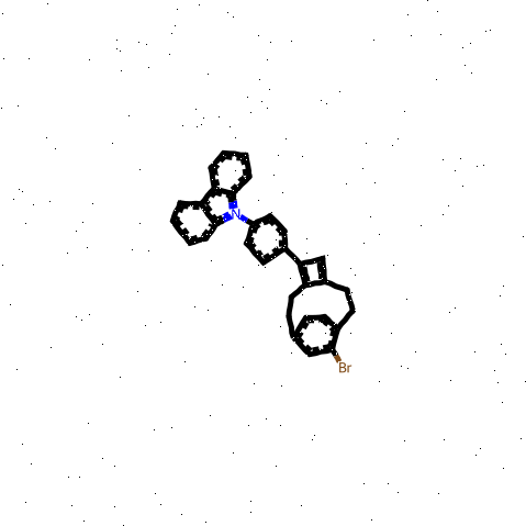 Brc1cc2ccc1CCC1=CC(c3ccc(-n4c5ccccc5c5ccccc54)cc3)=C1CC2